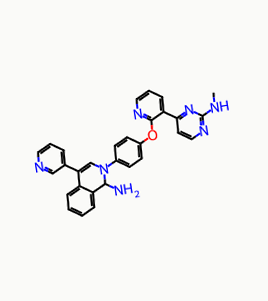 CNc1nccc(-c2cccnc2Oc2ccc(N3C=C(c4cccnc4)c4ccccc4C3N)cc2)n1